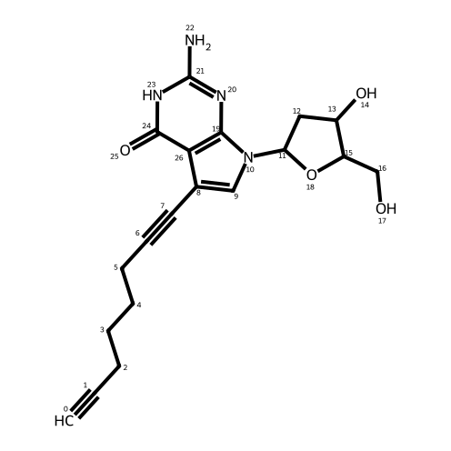 C#CCCCCC#Cc1cn(C2CC(O)C(CO)O2)c2nc(N)[nH]c(=O)c12